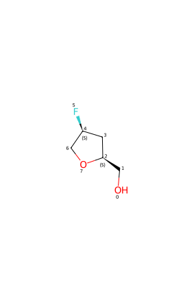 OC[C@@H]1C[C@H](F)CO1